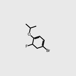 CC(C)OC1=CC=C(Br)CC1F